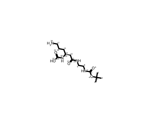 CC(C)(C)OC(=O)NCCNC(=O)C[C@H](CCCN)NC(=O)O